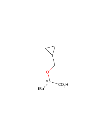 CC(C)(C)[C@H](OCC1CC1)C(=O)O